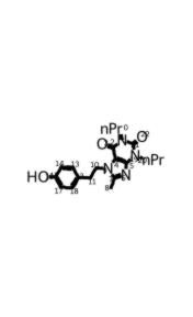 CCCn1c(=O)c2c(nc(C)n2CCc2ccc(O)cc2)n(CCC)c1=O